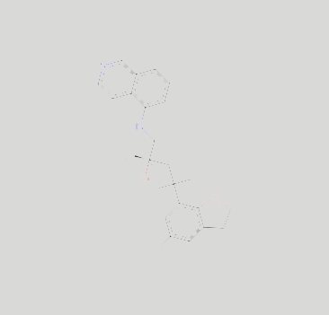 CC(C)(C[C@](O)(CNc1cccc2cnccc12)C(F)(F)F)c1cc(F)cc2c1OCC2